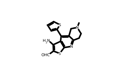 CN1CCc2nc3sc(C=O)c(N)c3c(-c3cccs3)c2C1